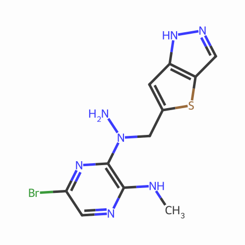 CNc1ncc(Br)nc1N(N)Cc1cc2[nH]ncc2s1